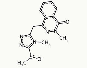 Cn1c(Cc2nn(C)c(=O)c3ccccc23)nnc1[S+](C)[O-]